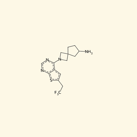 NC1CCC2(C1)CN(c1ncnc3sc(CC(F)(F)F)cc13)C2